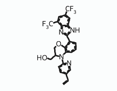 C=Cc1ccc(N2c3cccc(-c4nc5c(C(F)(F)F)cc(C(F)(F)F)cc5[nH]4)c3OCC2CO)nc1